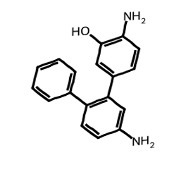 Nc1ccc(-c2ccccc2)c(-c2ccc(N)c(O)c2)c1